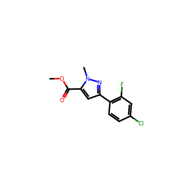 COC(=O)c1cc(-c2ccc(Cl)cc2F)nn1C